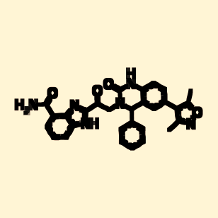 Cc1noc(C)c1-c1ccc2c(c1)C(c1ccccc1)N(CC(=O)c1nc3c(C(N)=O)cccc3[nH]1)C(=O)N2